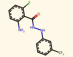 Nc1cccc(F)c1C(=O)NNc1cccc(C(F)(F)F)c1